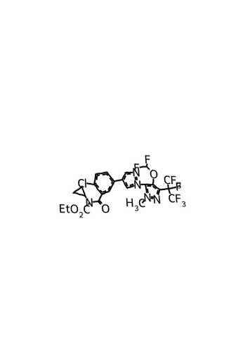 CCOC(=O)N(C(=O)c1cc(-c2cnn(-c3c(OC(F)F)c(C(F)(C(F)(F)F)C(F)(F)F)nn3C)c2)ccc1Cl)C1CC1